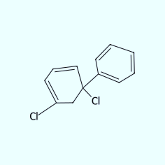 ClC1=CC=CC(Cl)(c2ccccc2)C1